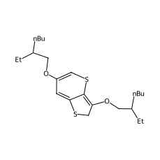 CCCCC(CC)COC1=CSC2=C(OCC(CC)CCCC)CSC2=C1